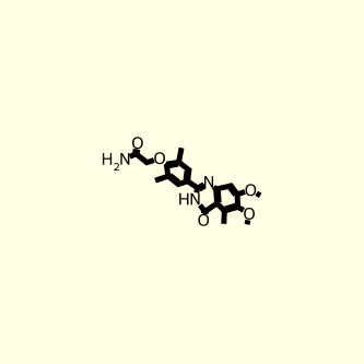 COc1cc2nc(-c3cc(C)c(OCC(N)=O)c(C)c3)[nH]c(=O)c2c(C)c1OC